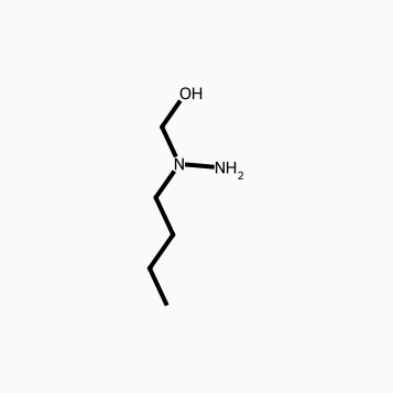 CCCCN(N)CO